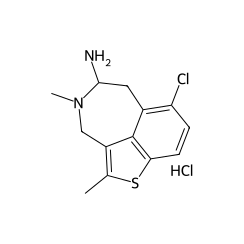 Cc1sc2ccc(Cl)c3c2c1CN(C)C(N)C3.Cl